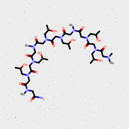 CCC(C)N(C)CC(=O)N(CC(=O)N(CC(=O)N(CC(=O)N(CC(=O)N(CC(=O)N(CC(=O)N(CC(=O)N(CC(=O)N(CC(N)=O)C(C)CC)CC(C)O)CC(C)O)C(C)CC)CC(C)O)CC(C)O)C(C)CC)CC(C)O)CC(C)O